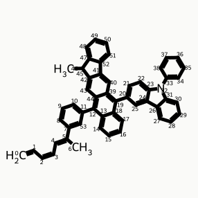 C=C/C=C\C=C(/C)c1cccc(-c2c3ccccc3c(-c3ccc4c(c3)c3ccccc3n4-c3ccccc3)c3cc4c(cc23)C(C)c2ccccc2-4)c1